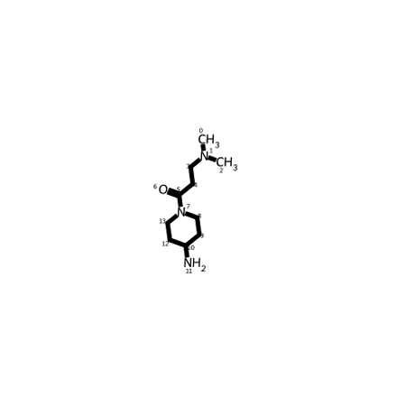 CN(C)CCC(=O)N1CCC(N)CC1